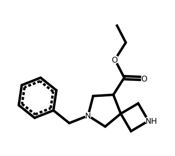 CCOC(=O)C1CN(Cc2ccccc2)CC12CNC2